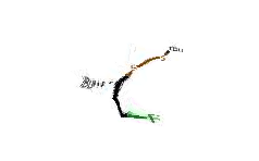 CCC(C)[C@@H](CF)SSC(C)(C)C